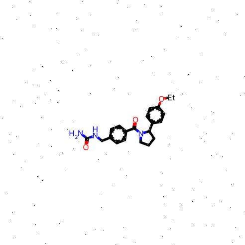 CCOc1ccc(C2CCCN2C(=O)c2ccc(CNC(N)=O)cc2)cc1